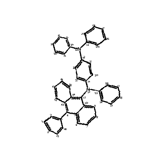 c1ccc(-c2c3ccccc3c(N(c3ccccc3)c3ccc(N(c4ccccc4)c4ccccc4)cc3)c3ccccc23)cc1